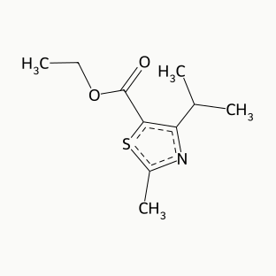 CCOC(=O)c1sc(C)nc1C(C)C